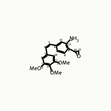 COc1cc(/C=C\c2ccc(C3CO3)c(N)c2)cc(OC)c1OC